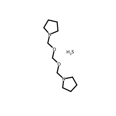 C1CCN(COCOCN2CCCC2)C1.S